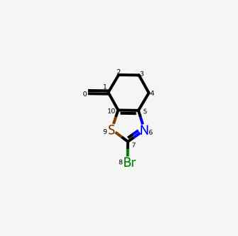 C=C1CCCc2nc(Br)sc21